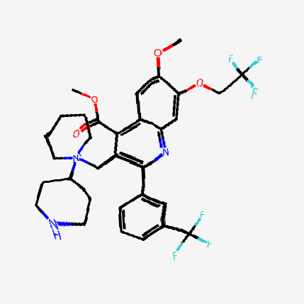 COC(=O)c1c(C[N+]2(C3CCNCC3)CCCCC2)c(-c2cccc(C(F)(F)F)c2)nc2cc(OCC(F)(F)F)c(OC)cc12